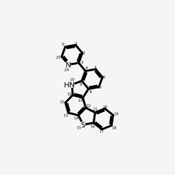 c1ccc(-c2cccc3c2[nH]c2ccc4sc5ccccc5c4c23)nc1